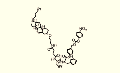 CC(C)CCC[C@@H](C)[C@H]1CC[C@H]2[C@@H]3CC=C4C[C@@H](OCCCNC(=O)CCC(=O)N[C@@H](CC(C)C)C(=O)N[C@@H](Cc5ccccc5)C(=O)Nc5ccc(COC(=O)Oc6ccc([N+](=O)[O-])cc6)cc5)CC[C@]4(C)[C@H]3CC[C@]12C